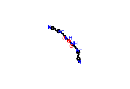 CN(C)c1ccc(C=Cc2cc[n+](CCCCCC(=O)NCCOCCNC(=O)CCCCC[n+]3ccc(C=Cc4ccc(N(C)C)cc4)cc3)cc2)cc1